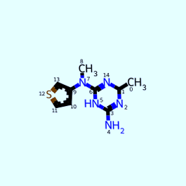 CC1N=C(N)NC(N(C)c2ccsc2)=N1